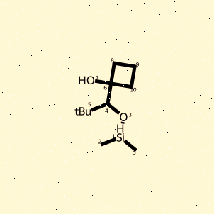 C[SiH](C)OC(C(C)(C)C)C1(O)CCC1